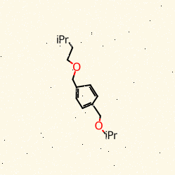 CC(C)CCOCc1ccc(COC(C)C)cc1